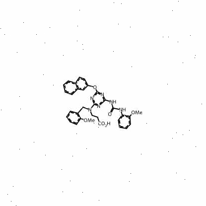 COc1ccccc1CN(CCC(=O)O)c1nc(NC(=O)Nc2ccccc2OC)nc(Oc2ccc3ccccc3c2)n1